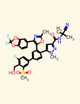 Cc1nc(-c2ccc3c(c2)OC(F)(F)O3)c(-c2cc(-c3cc(F)c(CO)c(S(C)(=O)=O)c3)ccc2-c2cc(C(=O)NC(C)(C)C#N)nn2C)o1